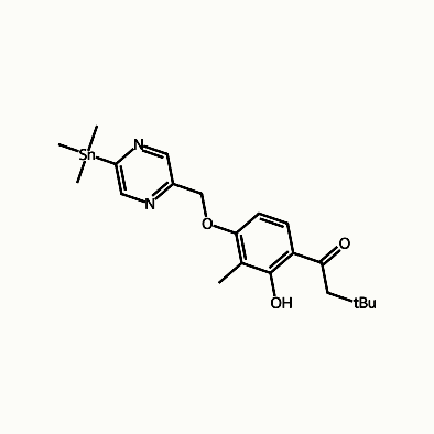 Cc1c(OCc2cn[c]([Sn]([CH3])([CH3])[CH3])cn2)ccc(C(=O)CC(C)(C)C)c1O